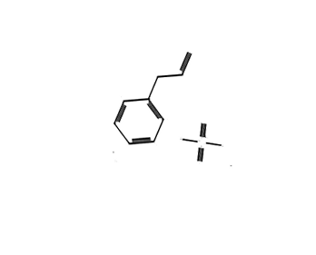 C=CCc1ccccc1.O=S(=O)([O-])[O-].[K+].[K+]